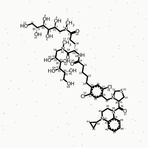 CN(C[C@H](O)C(O)[C@H](O)[C@H](O)CO)C(=O)CC[C@H](NC(=O)CCCCc1cc(Cl)c(CN2CSC[C@H]2C(=O)N2CCN(C3CC3)c3ccccc32)cc1Cl)C(=O)N(C)C[C@H](O)[C@@H](O)[C@H](O)[C@H](O)CO